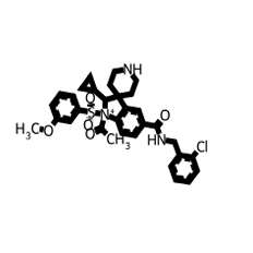 COc1cccc(S(=O)(=O)[N+]2(C(C)=O)c3ccc(C(=O)NCc4ccccc4Cl)cc3C3(CCNCC3)C2C2CC2)c1